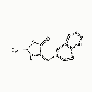 O=C1SC(S(=O)(=O)O)NC1=Cc1ccc2ncccc2c1